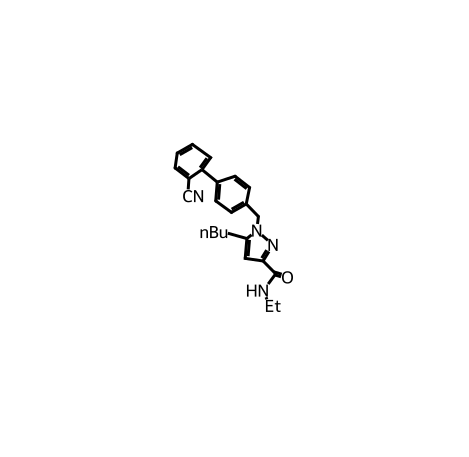 CCCCc1cc(C(=O)NCC)nn1Cc1ccc(-c2ccccc2C#N)cc1